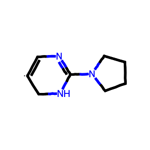 [C]1=CN=C(N2CCCC2)NC1